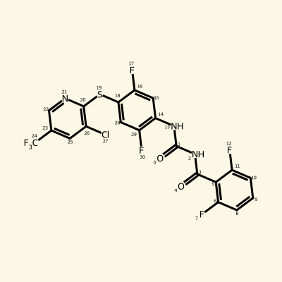 O=C(NC(=O)c1c(F)cccc1F)Nc1cc(F)c(Sc2ncc(C(F)(F)F)cc2Cl)cc1F